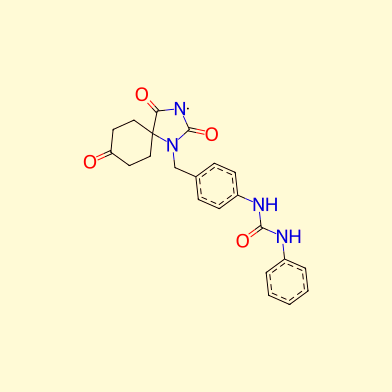 O=C1CCC2(CC1)C(=O)[N]C(=O)N2Cc1ccc(NC(=O)Nc2ccccc2)cc1